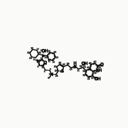 CN(CCc1cnc([C@](O)(c2ccccc2)C2CCCCC2)o1)CC1CC=C(CCNC[C@H](O)c2ccc(O)c3[nH]c(=O)ccc23)S1